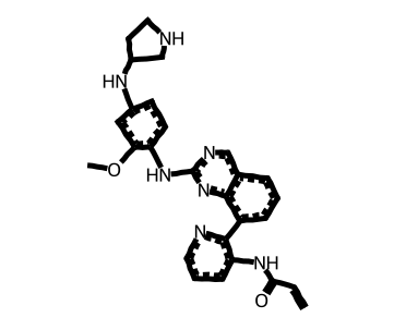 C=CC(=O)Nc1cccnc1-c1cccc2cnc(Nc3ccc(NC4CCNC4)cc3OC)nc12